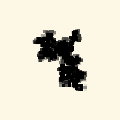 CCC(=O)OCCOC(=O)CC(C)(c1ccc(Op2oc3c(C(C)(C)C)cc(CO)cc3c3cc(CO)cc(C(C)(C)C)c3o2)c(C(C)(C)C)c1)c1ccc(Op2oc3c(C(C)(C)C)cc(OC)cc3c3cc(OC)cc(C(C)(C)C)c3o2)c(C(C)(C)C)c1